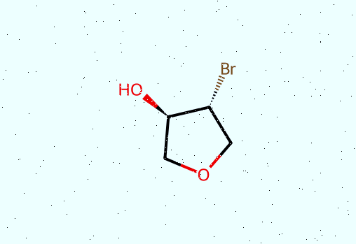 O[C@@H]1COC[C@H]1Br